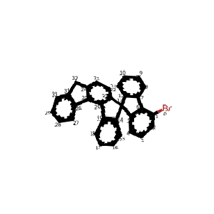 Brc1cccc2c1-c1ccccc1C21c2ccccc2-c2c1ccc1c2-c2ccccc2C1